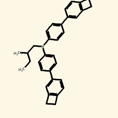 CCC(C)CN(c1ccc(-c2ccc3c(c2)CC3)cc1)c1ccc(-c2ccc3c(c2)CC3)cc1